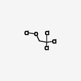 ClOCC(Cl)(Cl)Cl